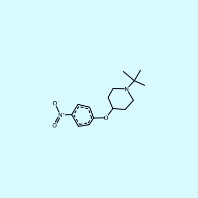 CC(C)(C)N1CCC(Oc2ccc([N+](=O)[O-])cc2)CC1